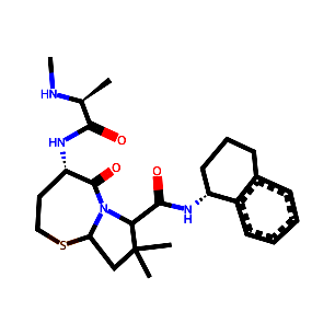 CN[C@@H](C)C(=O)N[C@H]1CCSC2CC(C)(C)C(C(=O)N[C@@H]3CCCc4ccccc43)N2C1=O